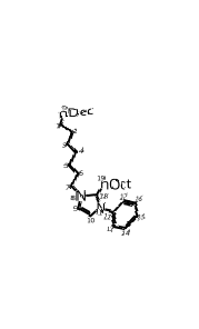 CCCCCCCCCCCCCCCCCN1C=CN(c2ccccc2)C1CCCCCCCC